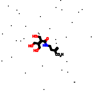 C=C(CCNC(=O)C(CO)=C(CO)CO)C(=O)O